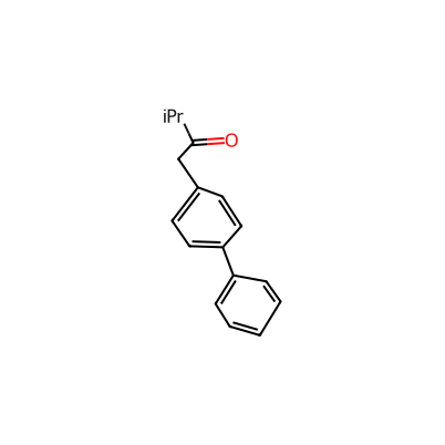 CC(C)C(=O)Cc1ccc(-c2ccccc2)cc1